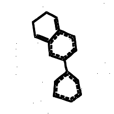 C1=c2ccc(-c3ccccc3)cc2=CCC1